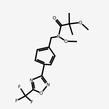 CON(Cc1ccc(-c2noc(C(F)(F)F)n2)cc1)C(=O)C(C)(C)OC